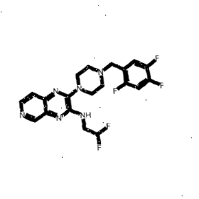 Fc1cc(F)c(CN2CCN(c3nc4ccncc4nc3NCC(F)F)CC2)cc1F